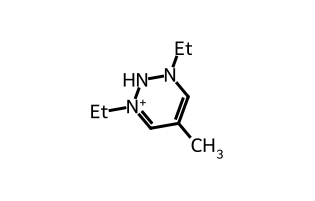 CCN1C=C(C)C=[N+](CC)N1